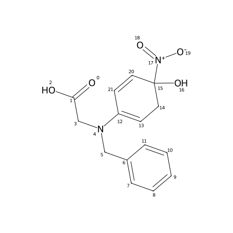 O=C(O)CN(Cc1ccccc1)C1=CCC(O)([N+](=O)[O-])C=C1